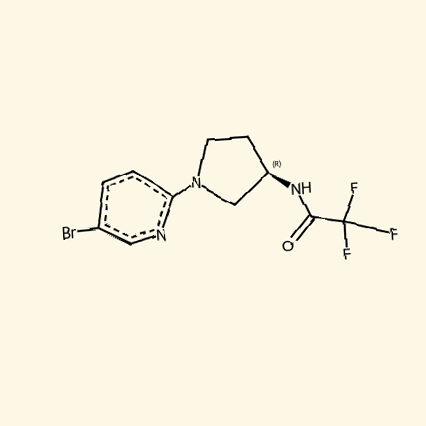 O=C(N[C@@H]1CCN(c2ccc(Br)cn2)C1)C(F)(F)F